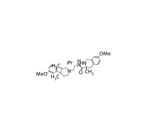 COc1cccc([C@]2(C)CCN(C[C@@H](NC(=O)[C@@]3(C)Cc4ccc(OC)cc4CN3)C(C)C)C[C@@H]2C)c1